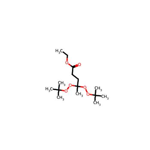 CCOC(=O)CCC(C)(OOC(C)(C)C)OOC(C)(C)C